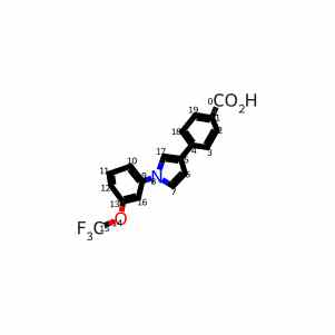 O=C(O)c1ccc(-c2ccn(-c3cccc(OC(F)(F)F)c3)c2)cc1